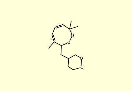 C/C1=C/C=C\C(C)(C)OOC1CC1CCOOC1